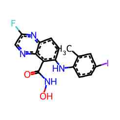 Cc1cc(I)ccc1Nc1ccc2nc(F)cnc2c1C(=O)NO